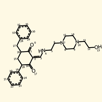 O=C1/C(=C\NCCN2CCN(CCO)CC2)C(=O)C(c2ccccc2)CC1Cc1ccccc1